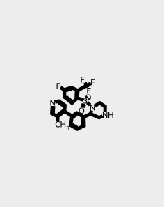 Cc1cnccc1-c1cccc(C2CNCCN2S(=O)(=O)c2ccc(F)cc2C(F)(F)F)c1